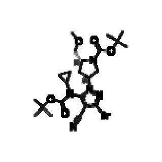 COC[C@H]1C[C@H](n2nc(Br)c(C#N)c2N(C(=O)OC(C)(C)C)C2CC2)CN1C(=O)OC(C)(C)C